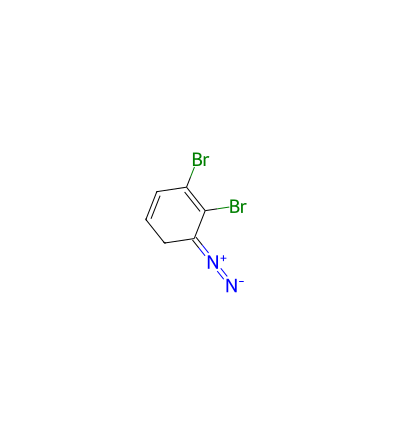 [N-]=[N+]=C1CC=CC(Br)=C1Br